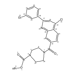 CCCOC(=O)N1CCN(C(=O)c2ccc3c(Cl)cc(-c4cccc(CC)c4)nc3c2)CC1